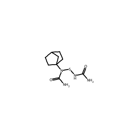 NC(=O)NSN(C(N)=O)C12CCC(CC1)C2